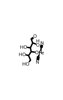 N#[C][Fe][C]#N.O=CC(O)C(O)C(O)C(O)CO